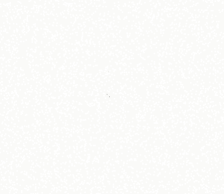 c1ccc([Se]c2ccccc2-n2cccc2[Se]c2ccccc2)cc1